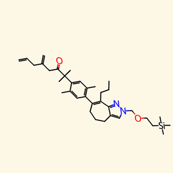 C=CCC(=C)CC(=O)C(C)(C)c1cc(C)c(C2=C(CCC)c3nn(COCC[Si](C)(C)C)cc3CCC2)cc1C